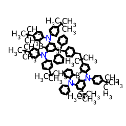 CC(C)(C)c1ccc(N2c3ccc(C(C)(C)Cc4ccc([Si](c5ccccc5)(c5ccccc5)c5cc6c7c(c5)N(c5ccc(C(C)(C)C)cc5)c5ccc(C(C)(C)C)cc5B7c5cc(C(C)(C)C)ccc5N6c5ccc(C(C)(C)C)cc5)cc4)cc3B3c4ccccc4N(c4ccccc4)c4cc([Si](C)(C)C)cc2c43)cc1